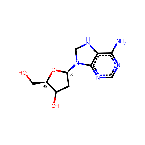 Nc1ncnc2c1NCN2[C@H]1CC(O)[C@@H](CO)O1